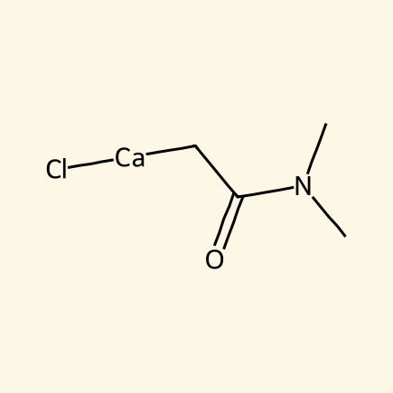 CN(C)C(=O)[CH2][Ca][Cl]